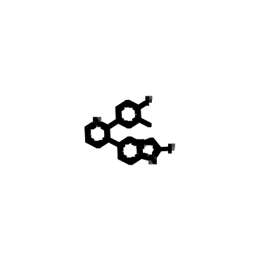 Cc1cc(-c2ncccc2-c2ccc3nc(F)cn3c2)ccc1F